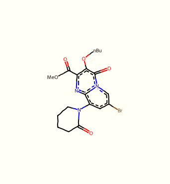 CCCCOc1c(C(=O)OC)nc2c(N3CCCCC3=O)cc(Br)cn2c1=O